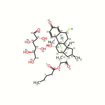 CCCCC(=O)OCC(=O)[C@H]1[C@H](C)C[C@H]2[C@@H]3C[C@H](F)C4=CC(=O)C=C[C@]4(C)[C@@]3(F)[C@@H](O)C[C@@]21C.O=C[C@H](O)[C@@H](O)[C@H](O)[C@H](O)CO